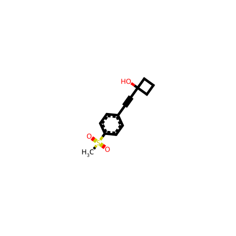 CS(=O)(=O)c1ccc(C#CC2(O)CCC2)cc1